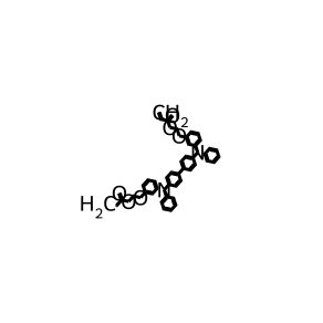 C=CC(=O)OCOc1cccc(N(c2ccccc2)c2ccc(-c3ccc(N(c4ccccc4)c4cccc(OCOC(=O)C=C)c4)cc3)cc2)c1